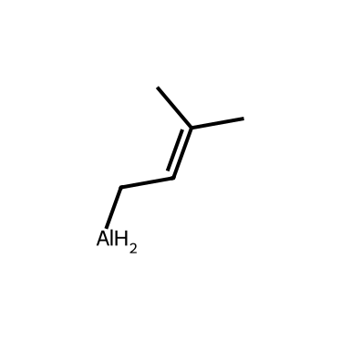 CC(C)=C[CH2][AlH2]